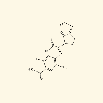 Cc1cc([S+](C)[O-])c(F)cc1/C=C(\C(=O)O)C1=CCc2ccccc21